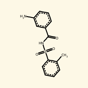 Cc1ccccc1S(=O)(=O)NC(=O)c1cccc(N)c1